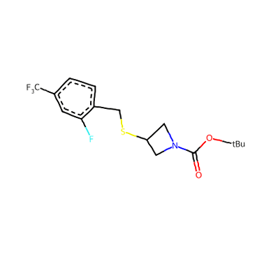 CC(C)(C)OC(=O)N1CC(SCc2ccc(C(F)(F)F)cc2F)C1